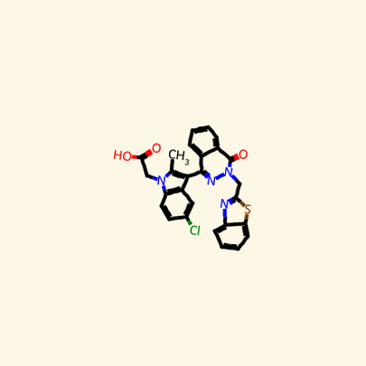 Cc1c(-c2nn(Cc3nc4ccccc4s3)c(=O)c3ccccc23)c2cc(Cl)ccc2n1CC(=O)O